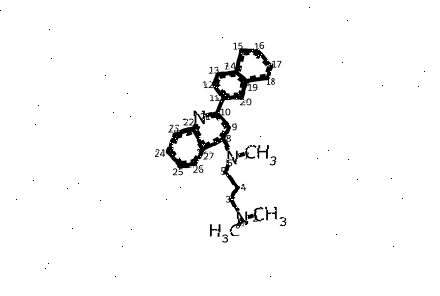 CN(C)CCCN(C)c1cc(-c2ccc3ccccc3c2)nc2ccccc12